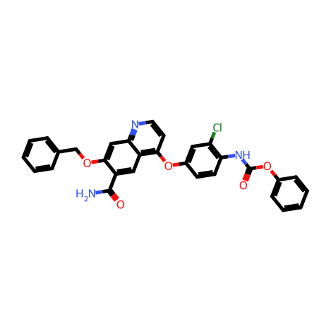 NC(=O)c1cc2c(Oc3ccc(NC(=O)Oc4ccccc4)c(Cl)c3)ccnc2cc1OCc1ccccc1